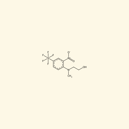 CN(CCO)c1ccc(S(F)(F)(F)(F)F)cc1[N+](=O)[O-]